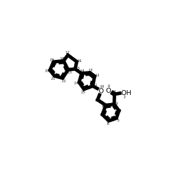 O=C(O)c1ccccc1COc1ccc(C2CCc3ccccc32)cc1